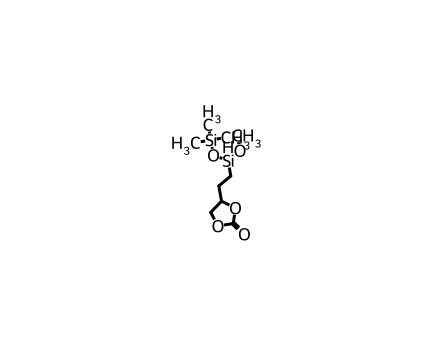 CO[SiH](CCC1COC(=O)O1)O[Si](C)(C)C